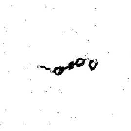 CC(C)(c1ccc(OCCCF)cc1)c1ccc(OC2CCCCO2)cc1